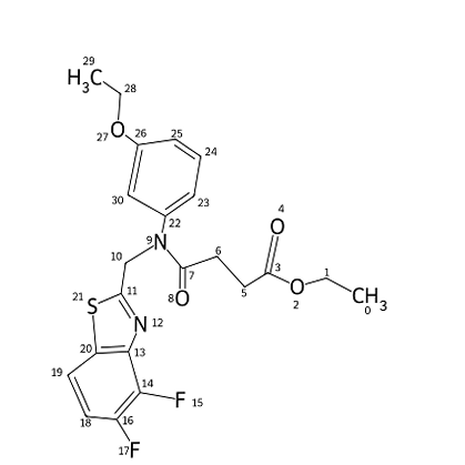 CCOC(=O)CCC(=O)N(Cc1nc2c(F)c(F)ccc2s1)c1cccc(OCC)c1